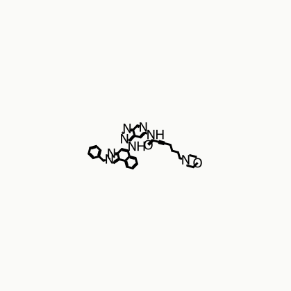 O=C(C#CCCCCN1CCOCC1)Nc1cc2c(Nc3cc4nn(Cc5ccccc5)cc4c4ccccc34)ncnc2cn1